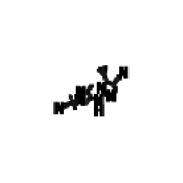 Cc1nn(C(C)(C)C#N)cc1Nc1ncc(C#N)c(C2CC2)n1